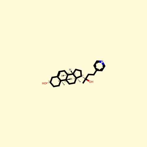 CC(O)(CCc1ccncc1)[C@H]1CC[C@H]2[C@@H]3CC=C4C[C@@H](O)CC[C@]4(C)[C@H]3CC[C@]12C